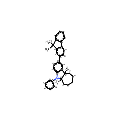 CC1(C)c2ccccc2-c2ccc(-c3ccc4c(c3)C3(C)CCCCCC3(C)N4c3ccccc3)cc21